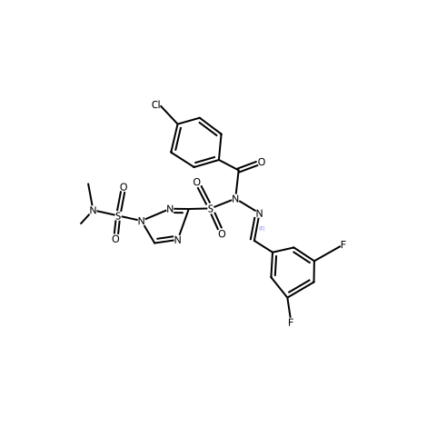 CN(C)S(=O)(=O)n1cnc(S(=O)(=O)N(/N=C/c2cc(F)cc(F)c2)C(=O)c2ccc(Cl)cc2)n1